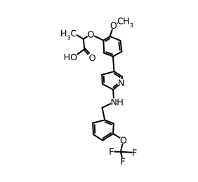 COc1ccc(-c2ccc(NCc3cccc(OC(F)(F)F)c3)nc2)cc1OC(C)C(=O)O